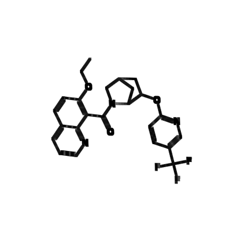 CCOc1ccc2cccnc2c1C(=O)N1CC2CC(Oc3ccc(C(F)(F)F)cn3)C1C2